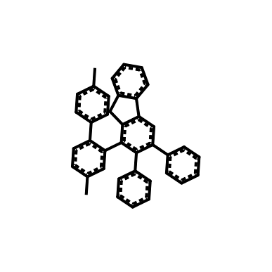 Cc1ccc(-c2ccc(C)cc2-c2c3c(cc(-c4ccccc4)c2-c2ccccc2)-c2ccccc2C3)cc1